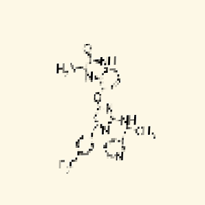 CC(Nc1nc(Oc2cccc3[nH]c(=O)c(N)nc23)cc(-c2ccc(C(F)(F)F)cc2)n1)c1cccnc1